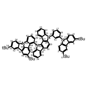 CC(C)(C)c1ccc2c(c1)c1cc(C(C)(C)C)ccc1n2-c1cccc(-n2c3ccccc3c3c2ccc2c4ccccc4n(-c4cccc5c4c4cc(C(C)(C)C)cc6c7cc(C(C)(C)C)ccc7n5c64)c23)c1